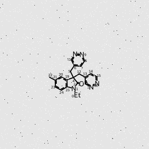 CCN1C(=O)C(Cc2ccnnc2)(Cc2ccnnc2)c2cc(C)ccc21